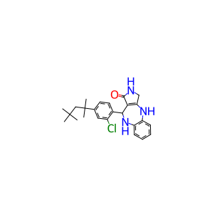 CC(C)(C)CC(C)(C)c1ccc(C2Nc3ccccc3NC3=C2C(=O)NC3)c(Cl)c1